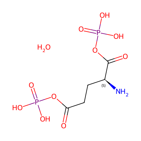 N[C@@H](CCC(=O)OP(=O)(O)O)C(=O)OP(=O)(O)O.O